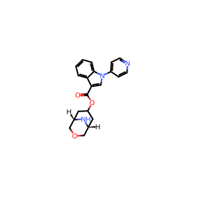 O=C(OC1C[C@H]2COC[C@@H](C1)N2)c1cn(-c2ccncc2)c2ccccc12